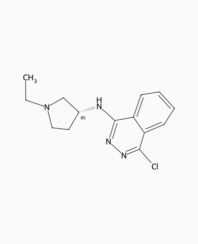 CCN1CC[C@@H](Nc2nnc(Cl)c3ccccc23)C1